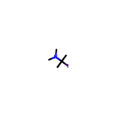 CN(C)C(C)(C)I